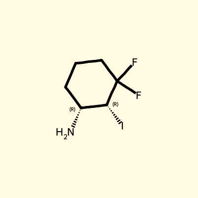 N[C@@H]1CCCC(F)(F)[C@@H]1I